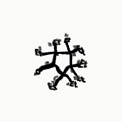 CCC1(CC)C(=O)C(CC)(CC)C(CC)(CC)C1(CC)CC